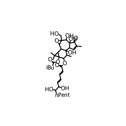 CCCCCC(O)C(O)/C=C/C=C/C(=O)OC1C(C)C2(O)C(C3OC3(CO)C(O)C3(O)C(=O)C(C)=CC32)C2C(C)(C)C12OC(=O)C(C)CC